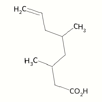 C=CCC(C)CC(C)CC(=O)O